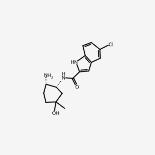 CC1(O)CC[C@H](N)[C@H](NC(=O)c2cc3cc(Cl)ccc3[nH]2)C1